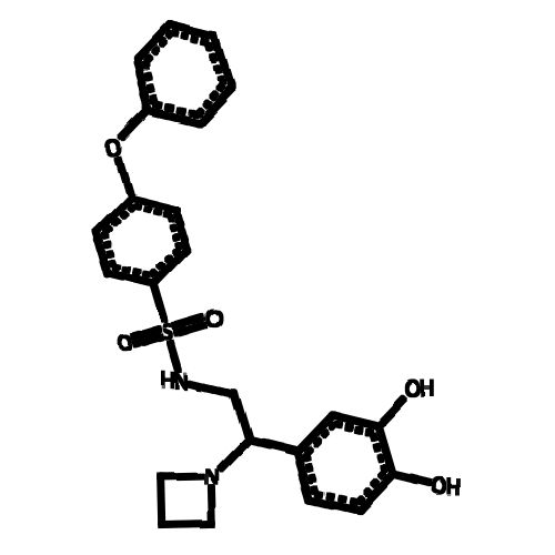 O=S(=O)(NCC(c1ccc(O)c(O)c1)N1CCC1)c1ccc(Oc2ccccc2)cc1